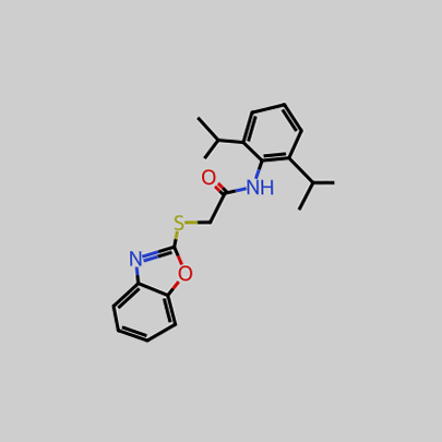 CC(C)c1cccc(C(C)C)c1NC(=O)CSc1nc2ccccc2o1